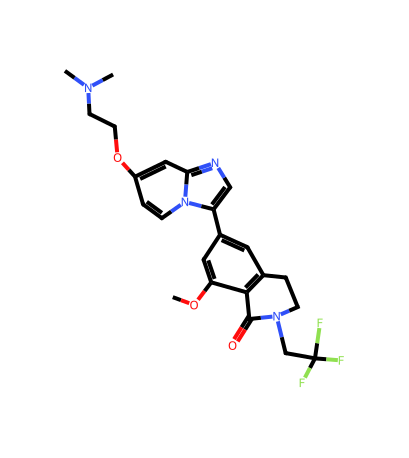 COc1cc(-c2cnc3cc(OCCN(C)C)ccn23)cc2c1C(=O)N(CC(F)(F)F)CC2